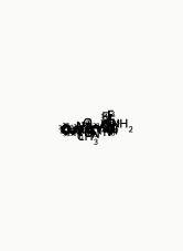 Cc1c(-n2oc3ncc(-c4cc(C(F)(F)F)c5c(N)ncnn45)cc3c2=O)ncn1Cc1ccccc1